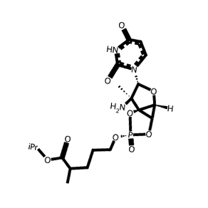 CC(C)OC(=O)C(C)CCCO[P@@]1(=O)OC2[C@H]3O[C@@H](n4ccc(=O)[nH]c4=O)[C@](C)(N)[C@@]23O1